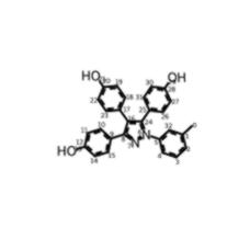 Cc1cccc(-n2nc(-c3ccc(O)cc3)c(-c3ccc(O)cc3)c2-c2ccc(O)cc2)c1